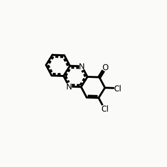 O=C1c2nc3ccccc3nc2C=C(Cl)C1Cl